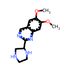 COc1cc2cnc(C3CNCCN3)nc2cc1OC